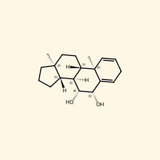 C[C@@]12CCC[C@H]1[C@@H]1[C@@H](O)[C@@H](O)C3=CCC=C[C@]3(C)[C@H]1CC2